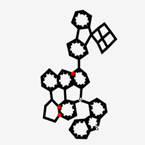 c1ccc(N(c2ccc(-c3ccc4c(c3)C3(c5ccccc5-4)C4CC5CC6CC3C564)cc2)c2cccc3sc4ccccc4c23)c(-c2cccc3cccc(C4CCCCC4)c23)c1